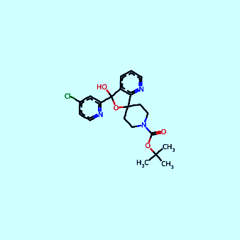 CC(C)(C)OC(=O)N1CCC2(CC1)OC(O)(c1cc(Cl)ccn1)c1cccnc12